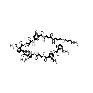 Cn1cc(NC(=O)c2nccn2C)cc1C(=O)NCCC(=O)Nc1cn(C)c(C(=O)Nc2ccn(C)c2C(=O)NCCC(=O)Nc2cn(C)c(C(=O)NCCC(=O)NCCCOCCCN)n2)n1